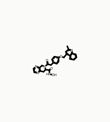 Cc1cc(COc2ccc(CC(=O)N3Cc4nccnc4CC3C(=O)NO)cc2)c2ccccc2n1